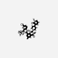 Cc1cc([C@@H](C)Nc2ccc(Cl)nc2C(=O)NS(C)(=O)=O)c2nc(N3CCC(c4cccn(C)c4=O)CC3)n(C)c(=O)c2c1